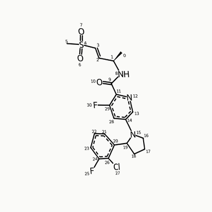 C[C@H](/C=C/S(C)(=O)=O)NC(=O)c1ncc(N2CCCC2c2cccc(F)c2Cl)cc1F